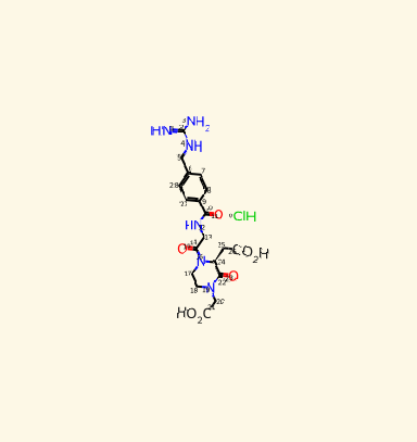 Cl.N=C(N)NCc1ccc(C(=O)NCC(=O)N2CCN(CC(=O)O)C(=O)[C@@H]2CC(=O)O)cc1